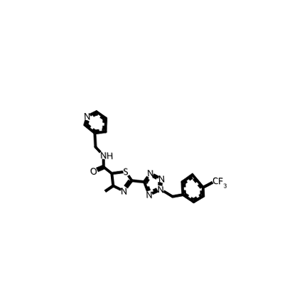 CC1N=C(c2nnn(Cc3ccc(C(F)(F)F)cc3)n2)SC1C(=O)NCc1cccnc1